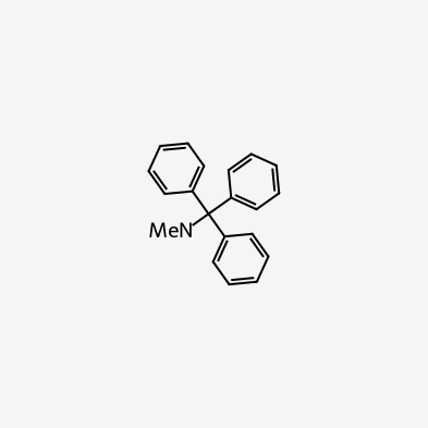 CNC(c1ccccc1)(c1ccccc1)c1ccccc1